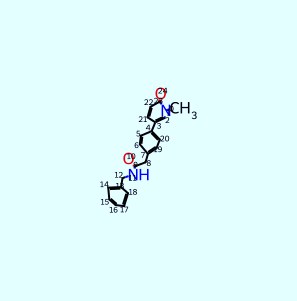 Cn1cc(-c2ccc(CC(=O)NCc3ccccc3)cc2)ccc1=O